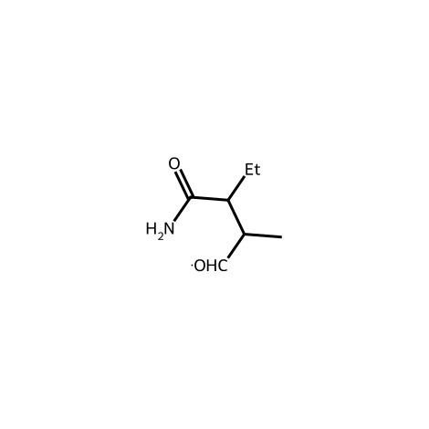 CCC(C(N)=O)C(C)[C]=O